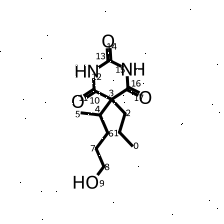 CCCC1(C(C)CCCO)C(=O)NC(=O)NC1=O